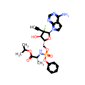 C#C[C@@]1(F)[C@H](O)[C@@H](COP(=O)(N[C@H](C)C(=O)OC(C)C)Oc2ccccc2)O[C@@H]1n1ccc2c(N)ncnc21